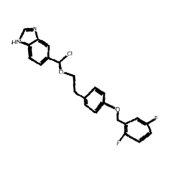 Fc1ccc(F)c(COc2ccc(CCOC(Cl)c3ccc4[nH]cnc4c3)cc2)c1